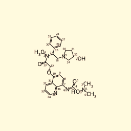 CN(C)O[SH](=O)=Nc1ccc(OCC(=O)N(C)C(CN2CC[C@H](O)C2)c2ccccc2)c2cccnc12